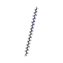 [CH]=C/C=C/C=C/C=C/C=C/C=C/C=C/C=C/CCCCCCCCCCCCCC